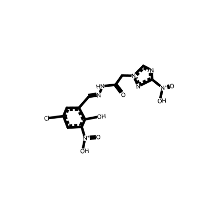 O=C(Cn1cnc([N+](=O)O)n1)N/N=C/c1cc(Cl)cc([N+](=O)O)c1O